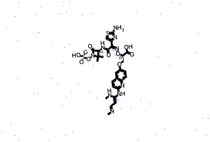 C/N=C/C=C(\NC)Nc1ccc2cc(OC[C@H](O/N=C(\C(=O)N[C@@H]3C(=O)N(OS(=O)(=O)O)C3(C)C)c3csc(N)n3)C(=O)O)ccc2n1